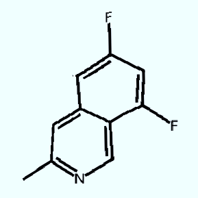 Cc1cc2[c]c(F)cc(F)c2cn1